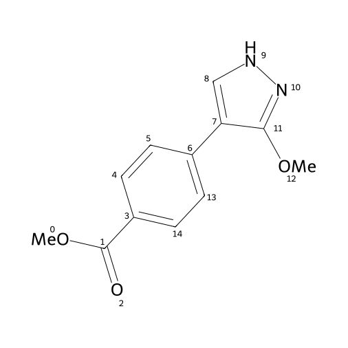 COC(=O)c1ccc(-c2c[nH]nc2OC)cc1